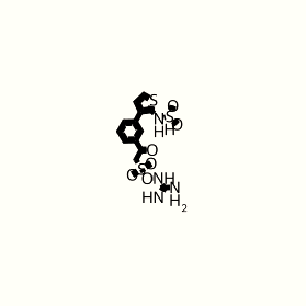 N=C(N)NOS(=O)(=O)CC(=O)c1cccc(-c2ccsc2N[SH](=O)=O)c1